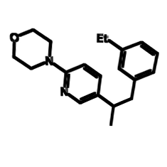 CCc1cccc(CC(C)c2ccc(N3CCOCC3)nc2)c1